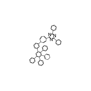 C1=CC(c2cccc(-c3cc(-c4ccccc4)c(-c4ccccc4)c(C4=CCCC=C4)c3-c3ccccc3)c2)C=CC(c2nc(-c3ccccc3)nc(-c3ccccc3)n2)=C1